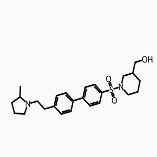 CC1CCCN1CCc1ccc(-c2ccc(S(=O)(=O)N3CCCC(CO)C3)cc2)cc1